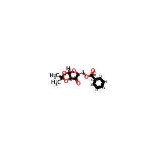 CC1(C)OC2C(=O)[C@@H](COC(=O)c3ccccc3)O[C@@H]2O1